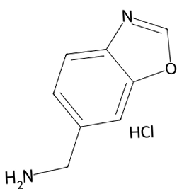 Cl.NCc1ccc2ncoc2c1